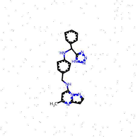 Cc1cc(NCc2ccc(NC(c3ccccc3)c3nnn[nH]3)cc2)n2nccc2n1